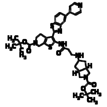 CC(C)(C)OC(=O)N1CCc2c(sc(NC(=O)CCNC3C[C@@H]4CN(C(=O)OC(C)(C)C)C[C@@H]4C3)c2-c2nc3cc(-c4ccncc4)ccc3s2)C1